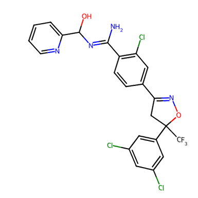 NC(=NC(O)c1ccccn1)c1ccc(C2=NOC(c3cc(Cl)cc(Cl)c3)(C(F)(F)F)C2)cc1Cl